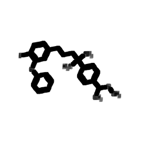 COC(C)c1ccc(C(C)(C)CCCc2ccc(F)c(Oc3ccccc3)c2)cc1